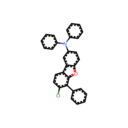 Clc1ccc2c(oc3ccc(N(c4ccccc4)c4ccccc4)cc32)c1-c1ccccc1